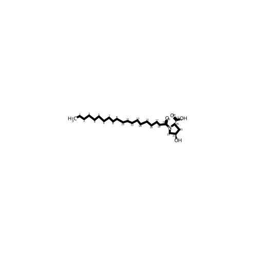 CCCCCCCCCCCCCCCCCCCC(=O)N1C[C@H](O)C[C@H]1C(=O)O